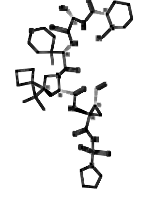 C=C[C@@H]1C[C@]1(NC(=O)[C@@H]1C[C@@]2(CN1C(=O)[C@@H](NC(=O)[C@@H](NC(=O)[C@@H]1CCCCN1C(C)C)C(C)(C)C)C1(C)CCOCC1)C(C)(C)C21CCC1)C(=O)NS(=O)(=O)N1CCCC1